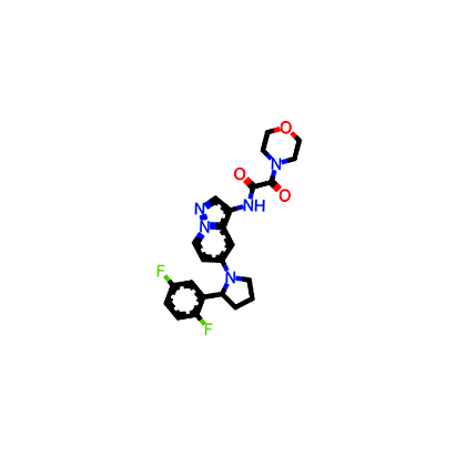 O=C(Nc1cnn2ccc(N3CCCC3c3cc(F)ccc3F)cc12)C(=O)N1CCOCC1